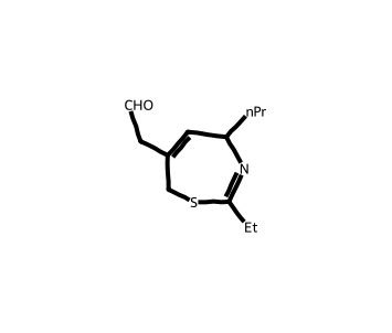 CCCC1C=C(CC=O)CSC(CC)=N1